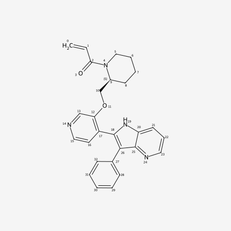 C=CC(=O)N1CCCC[C@H]1COc1cnccc1-c1[nH]c2cccnc2c1-c1ccccc1